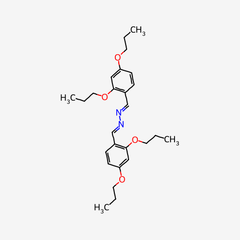 CCCOc1ccc(C=NN=Cc2ccc(OCCC)cc2OCCC)c(OCCC)c1